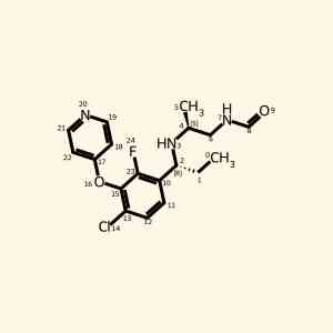 CC[C@@H](N[C@@H](C)CNC=O)c1ccc(Cl)c(Oc2ccncc2)c1F